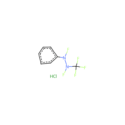 Cl.FN(c1ccccc1)N(F)C(F)(F)F